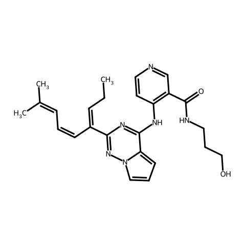 CC/C=C(/C=C\C=C(C)C)c1nc(Nc2ccncc2C(=O)NCCCO)c2cccn2n1